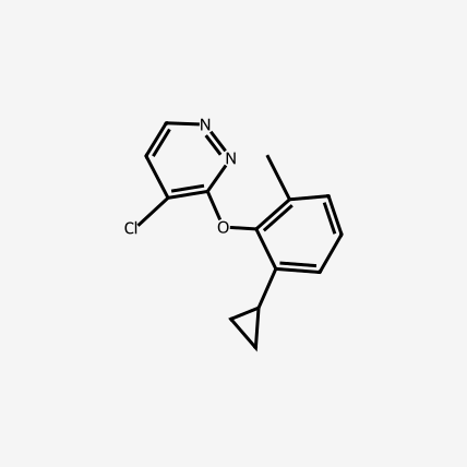 Cc1cccc(C2CC2)c1Oc1nnccc1Cl